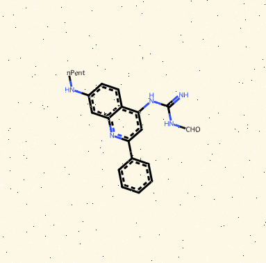 CCCCCNc1ccc2c(NC(=N)NC=O)cc(-c3ccccc3)nc2c1